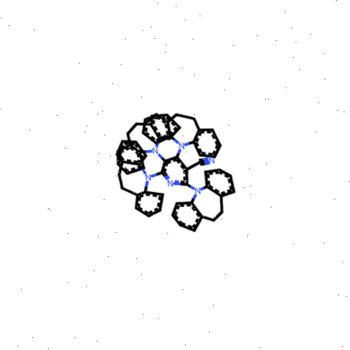 N#Cc1c(N2c3ccccc3CCc3ccccc32)nc(N2c3ccccc3CCc3ccccc32)c(N2c3ccccc3CCc3ccccc32)c1N1c2ccccc2CCc2ccccc21